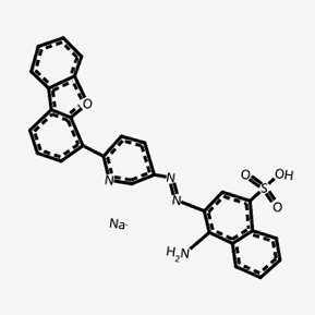 Nc1c(N=Nc2ccc(-c3cccc4c3oc3ccccc34)nc2)cc(S(=O)(=O)O)c2ccccc12.[Na]